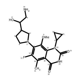 COc1c(N2CCC(C(O)CN)C2)c(F)c(C)c2c(=O)[nH]c(=O)n(C3CC3)c12